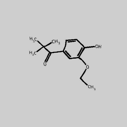 CCOc1cc(C(=O)C(C)(C)C)ccc1O